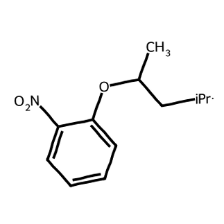 C[C](C)CC(C)Oc1ccccc1[N+](=O)[O-]